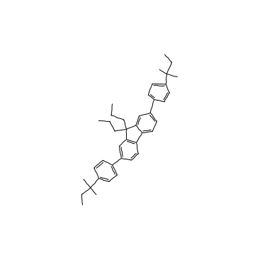 CCCC1(CCC)c2cc(-c3ccc(C(C)(C)CC)cc3)ccc2-c2ccc(-c3ccc(C(C)(C)CC)cc3)cc21